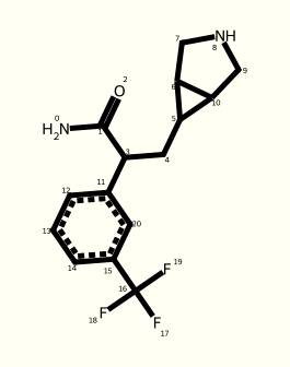 NC(=O)C(CC1C2CNCC21)c1cccc(C(F)(F)F)c1